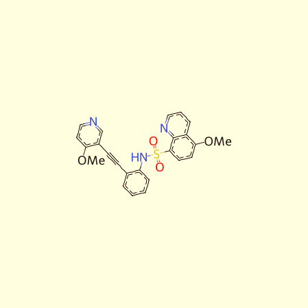 COc1ccncc1C#Cc1ccccc1NS(=O)(=O)c1ccc(OC)c2cccnc12